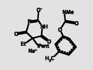 CCCC(C)C1(CC)C(=O)N=C([O-])NC1=O.CNC(=O)Oc1cccc(C)c1.[Na+]